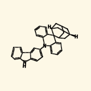 c1ccc2c(c1)N(c1ccc3[nH]c4ccccc4c3c1)c1ccccc1C21C2CC3C[C@H](C2)C[C@H]1C3